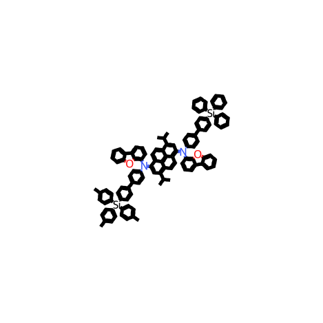 Cc1ccc([Si](c2ccc(C)cc2)(c2ccc(C)cc2)c2ccc(-c3ccc(N(c4cc(C(C)C)c5ccc6c(N(c7ccc(-c8ccc([Si](c9ccccc9)(c9ccccc9)c9ccccc9)cc8)cc7)c7cccc8c7oc7ccccc78)cc(C(C)C)c7ccc4c5c76)c4cccc5c4oc4ccccc45)cc3)cc2)cc1